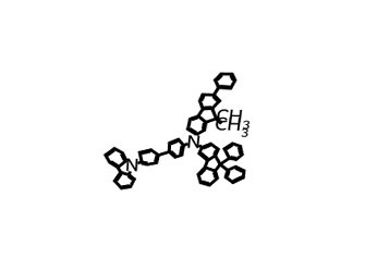 CC1(C)c2cc(-c3ccccc3)ccc2-c2ccc(N(c3ccc(-c4ccc(-n5c6ccccc6c6ccccc65)cc4)cc3)c3ccc4c(c3)-c3ccccc3C4(c3ccccc3)c3ccccc3)cc21